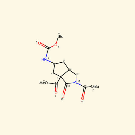 COC(=O)C12CC(NC(=O)OC(C)(C)C)CC1CN(C(=O)OCC(C)C)C2=O